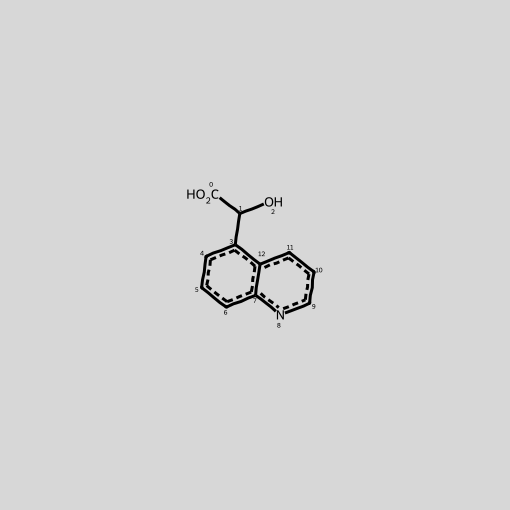 O=C(O)C(O)c1cccc2ncccc12